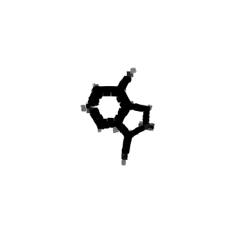 O=C1NCc2c(F)cncc21